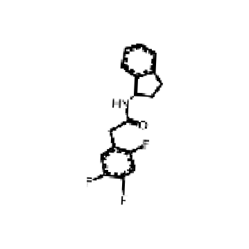 O=C(Cc1cc(F)c(F)cc1F)N[C@H]1CCc2ccccc21